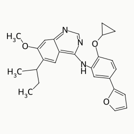 CCC(C)c1cc2c(Nc3cc(-c4ccco4)ccc3OC3CC3)ncnc2cc1OC